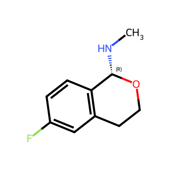 CN[C@@H]1OCCc2cc(F)ccc21